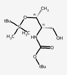 C[C@@H](O[Si](C)(C)C(C)(C)C)[C@H](CO)NC(=O)OC(C)(C)C